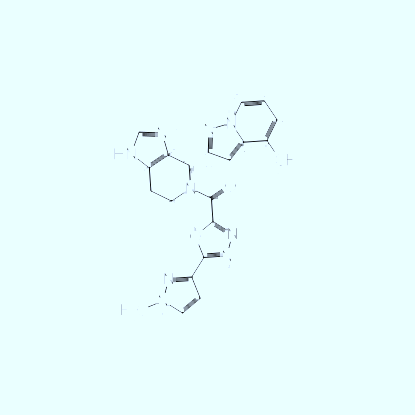 O=C(c1nnc(-c2ccn(C(F)(F)F)n2)o1)N1CCc2[nH]cnc2[C@@H]1c1cc2c(C(F)(F)F)cccn2n1